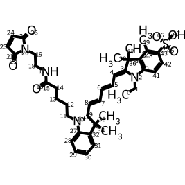 CCN1C(=CC=CC=CC2=[N+](CCCCC(=O)NCCN3C(=O)C=CC3=O)c3ccccc3C2(C)C)C(C)(C)c2c1ccc(S(=O)(=O)O)c2C